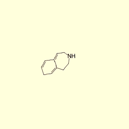 C1=CC2=CCNCCC2=CC1